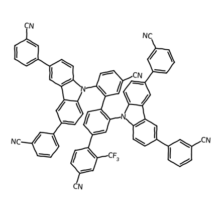 N#Cc1cccc(-c2ccc3c(c2)c2cc(-c4cccc(C#N)c4)ccc2n3-c2ccc(C#N)cc2-c2ccc(-c3ccc(C#N)cc3C(F)(F)F)cc2-n2c3ccc(-c4cccc(C#N)c4)cc3c3cc(-c4cccc(C#N)c4)ccc32)c1